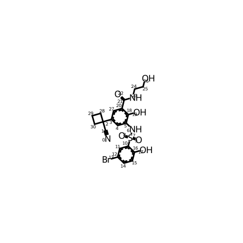 N#CC1(c2cc(NS(=O)(=O)c3cc(Br)ccc3O)c(O)c(C(=O)NCCO)c2)CCC1